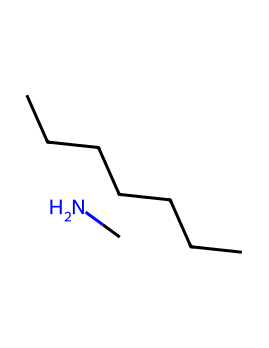 CCCCCCC.CN